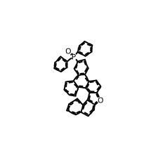 O=P(c1ccccc1)(c1ccccc1)c1ccc2c(c1)c1ccccc1c1c2ccc2oc3ccc4ccccc4c3c21